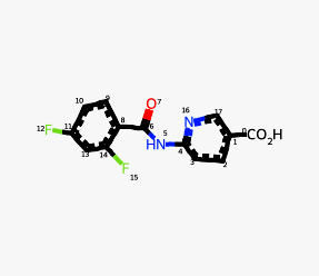 O=C(O)c1ccc(NC(=O)c2ccc(F)cc2F)nc1